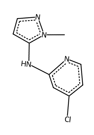 Cn1nccc1Nc1cc(Cl)ccn1